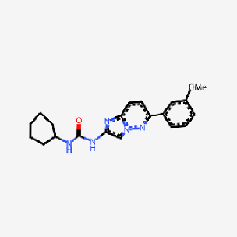 COc1cccc(-c2ccc3nc(NC(=O)NC4CCCCC4)cn3n2)c1